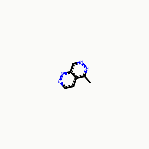 Cc1nncc2nnccc12